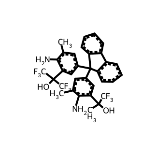 Cc1cc(C2(c3cc(C)c(N)c(C(O)(C(F)(F)F)C(F)(F)F)c3)c3ccccc3-c3ccccc32)cc(C(C)(O)C(F)(F)F)c1N